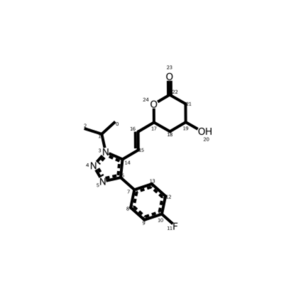 CC(C)n1nnc(-c2ccc(F)cc2)c1C=CC1CC(O)CC(=O)O1